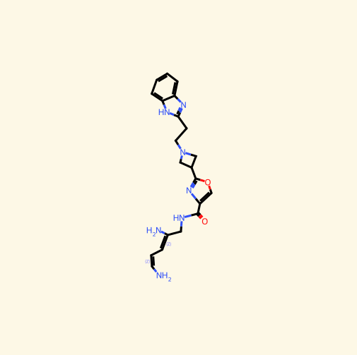 N/C=C\C=C(/N)CNC(=O)c1coc(C2CN(CCc3nc4ccccc4[nH]3)C2)n1